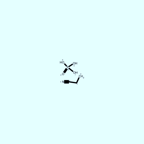 CCC#N.O=P(O)(O)O